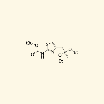 C=P(Cc1csc(NC(=O)OC(C)(C)C)n1)(OCC)OCC